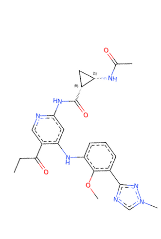 CCC(=O)c1cnc(NC(=O)[C@@H]2C[C@@H]2NC(C)=O)cc1Nc1cccc(-c2ncn(C)n2)c1OC